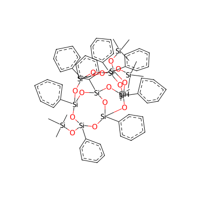 C[SiH](C)O[Si]1(c2ccccc2)O[Si]2(c3ccccc3)O[Si](O[Si](C)(C)C)(c3ccccc3)O[Si](c3ccccc3)(O1)O[Si]1(c3ccccc3)O[Si](O[Si](C)(C)C)(c3ccccc3)O[Si](c3ccccc3)(O[Si](O[Si](C)(C)C)(c3ccccc3)O1)O2